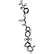 CNS(=O)(=O)c1cccc(OC[C@@H](O)CNC2COC3(CCN(S(=O)(=O)c4cnc5c(c4)N(C)C[C@H](C)O5)CC3)C2)c1